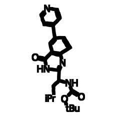 CC(C)CC(NC(=O)OC(C)(C)C)c1nc2ccc(-c3ccncc3)cc2c(=O)[nH]1